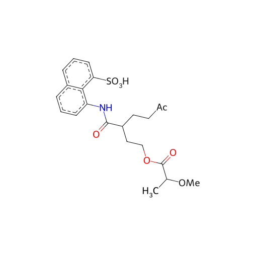 COC(C)C(=O)OCCC(CCC(C)=O)C(=O)Nc1cccc2cccc(S(=O)(=O)O)c12